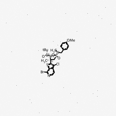 COc1ccc(CN(C)S(=O)(=O)C[C@](C)(N[S@+]([O-])C(C)(C)C)c2sc3c(Br)nccc3c2Cl)cc1